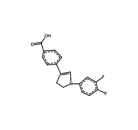 O=C(O)c1ccc(C2=CN(c3ccc(F)c(F)c3)CC2)cc1